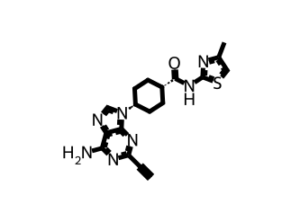 C#Cc1nc(N)c2ncn([C@H]3CC[C@@H](C(=O)Nc4nc(C)cs4)CC3)c2n1